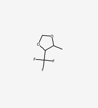 CC1OCOC1C(F)(F)F